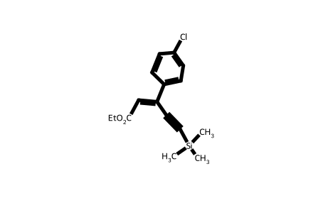 CCOC(=O)C=C(C#C[Si](C)(C)C)c1ccc(Cl)cc1